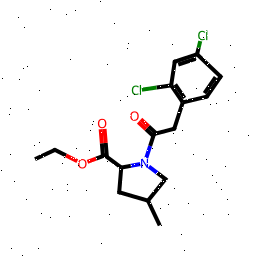 CCOC(=O)C1CC(C)CN1C(=O)Cc1ccc(Cl)cc1Cl